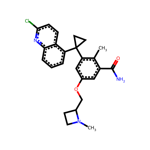 Cc1c(C(N)=O)cc(OCC2CCN2C)cc1C1(c2cccc3nc(Cl)ccc23)CC1